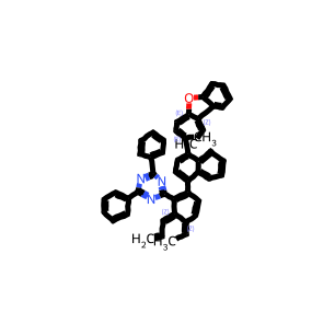 C=C/C=c1/c(-c2nc(-c3ccccc3)nc(-c3ccccc3)n2)c(-c2ccc(/C(C)=C/C=c3/oc4ccccc4/c3=C/C)c3ccccc23)cc/c1=C/C